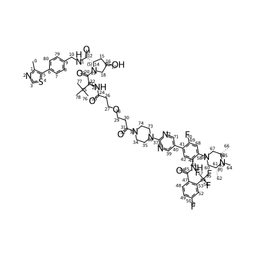 Cc1ncsc1-c1ccc(CNC(=O)[C@@H]2C[C@@H](O)CN2C(=O)[C@@H](NC(=O)CCOCCC(=O)N2CCN(c3ncc(-c4cc(NC(=O)c5ccc(F)cc5C(F)(F)F)c(N5C[C@@H](C)N(C)[C@@H](C)C5)cc4F)cn3)CC2)C(C)(C)C)cc1